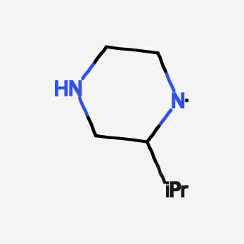 CC(C)C1CNCC[N]1